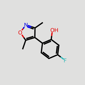 Cc1noc(C)c1-c1ccc(F)cc1O